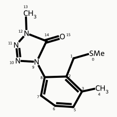 CSCc1c(C)cccc1-n1nnn(C)c1=O